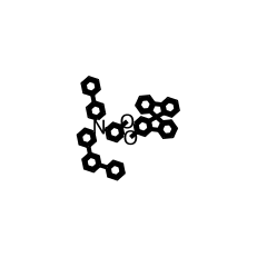 c1ccc(-c2ccc(N(c3cccc(-c4cccc(-c5ccccc5)c4)c3)c3ccc4c(c3)Oc3cc5c(cc3O4)-c3ccccc3C53c4ccccc4-c4ccccc43)cc2)cc1